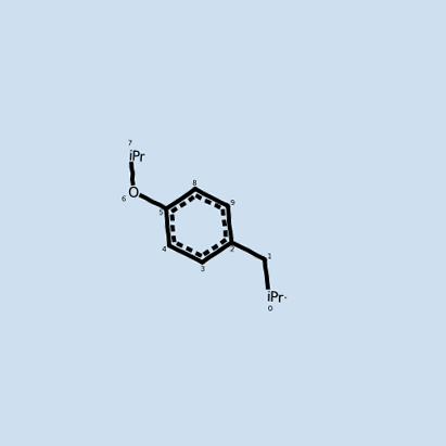 C[C](C)Cc1ccc(OC(C)C)cc1